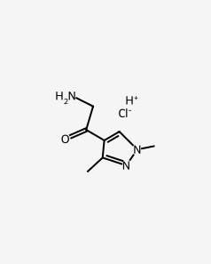 Cc1nn(C)cc1C(=O)CN.[Cl-].[H+]